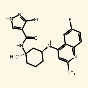 CCc1n[nH]cc1C(=O)N[C@]1(C)CCC[C@H](Nc2cc(C(F)(F)F)nc3ccc(F)cc23)C1